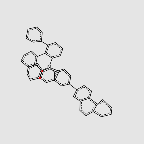 c1ccc(-c2ccccc2-c2c(-c3ccccc3)cccc2N(c2ccccc2)c2ccc(-c3ccc4c(ccc5ccccc54)c3)cc2)cc1